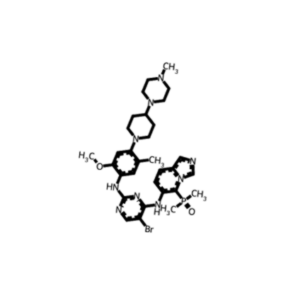 COc1cc(N2CCC(N3CCN(C)CC3)CC2)c(C)cc1Nc1ncc(Br)c(Nc2ccc3cncn3c2P(C)(C)=O)n1